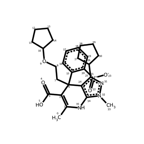 CC1=C(C(=O)O)C(CCOC2CCCC2)(c2ccccc2[N+](=O)[O-])c2c(C3CCCC3)nn(C)c2N1